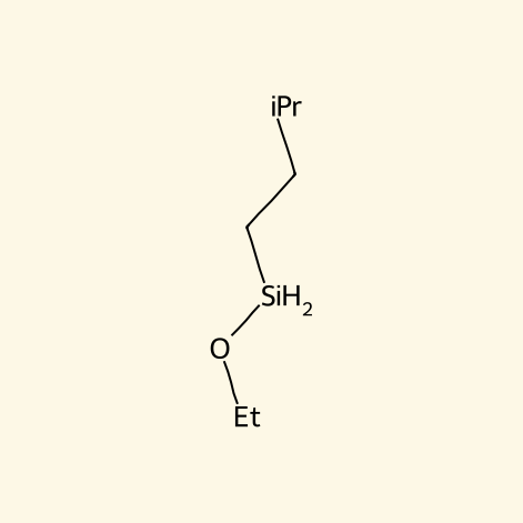 CCO[SiH2]CCC(C)C